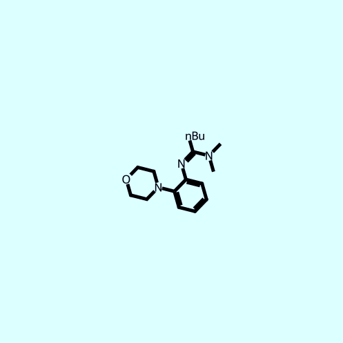 CCCCC(=Nc1ccccc1N1CCOCC1)N(C)C